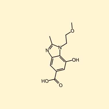 COCCn1c(C)nc2cc(C(=O)O)cc(O)c21